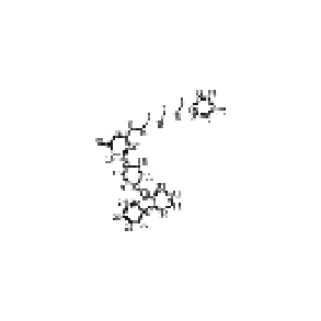 Cc1ccc(CCCCCCCc2cc(C)cc(-c3ccc(-n4c5ccccc5c5ccccc54)cc3)c2)cc1